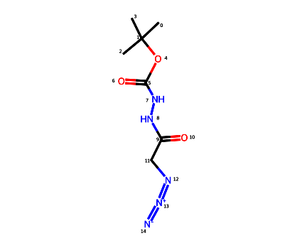 CC(C)(C)OC(=O)NNC(=O)CN=[N+]=[N-]